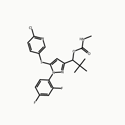 CNC(=O)OC(c1cc(Sc2ccc(Cl)nc2)n(-c2ccc(F)cc2F)n1)C(C)(C)C